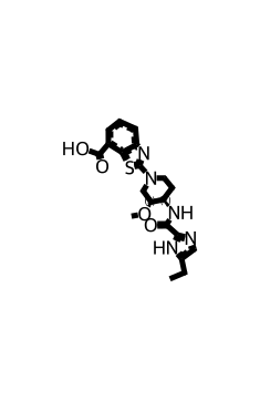 CCc1cnc(C(=O)N[C@@H]2CCN(c3nc4cccc(C(=O)O)c4s3)C[C@@H]2OC)[nH]1